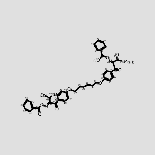 CCCCCC(CC)/C(=N\OC(O)c1ccccc1)C(=O)c1ccc(OCCCCCCOc2ccc(C(=O)/C(=N/OC(=O)c3ccccc3)C(CC)CCCC)cc2)cc1